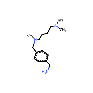 CCCN(C)CCCCN(CCC)Cc1ccc(CN)cc1